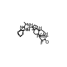 CC(NC(=O)[C@H]1CC[C@H]2[C@@H]3CC[C@H]4N(C)C(=O)[C@H](F)C[C@]4(C)[C@H]3CC[C@]12C)c1nc2ccccc2[nH]1